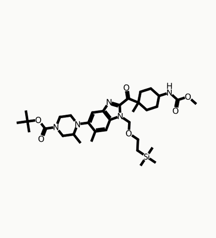 COC(=O)NC1CCC(C)(C(=O)c2nc3cc(N4CCN(C(=O)OC(C)(C)C)CC4C)c(C)cc3n2COCC[Si](C)(C)C)CC1